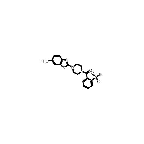 CCS(=O)(=O)c1ccccc1C(=O)N1CCN(c2nc3ccc(C)cc3s2)CC1